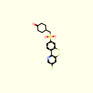 O=C1CCC(CS(=O)(=O)c2ccc(-c3ncc(F)cc3F)c(F)c2)CC1